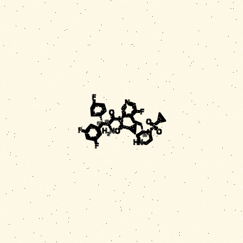 N[C@H](C(=O)N(C(=O)C1CC1)c1cncc(F)c1CC[C@H]1CNCCN1S(=O)(=O)C1CC1)[C@@H](c1ccc(F)cc1)c1cc(F)cc(F)c1